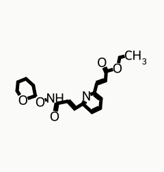 CCOC(=O)/C=C/c1cccc(/C=C/C(=O)NOC2CCCCO2)n1